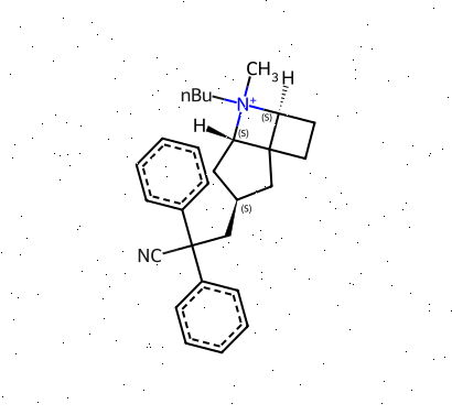 CCCC[N+]1(C)[C@H]2CCC23C[C@@H](CC(C#N)(c2ccccc2)c2ccccc2)C[C@@H]31